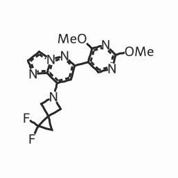 COc1ncc(-c2cc(N3CC4(C3)CC4(F)F)c3nccn3n2)c(OC)n1